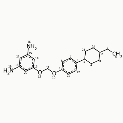 CCC1CCC(c2ccc(OCOc3cc(N)cc(N)c3)cc2)CC1